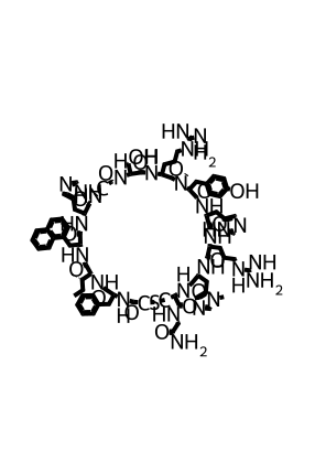 CC[C@H](C)C1NC(=O)C(Cc2ccccc2)NC(=O)CSCC(C(=O)NCC(N)=O)NC(=O)C(Cc2cncn2C)NC(=O)C(CCCNC(=N)N)NC(=O)C(Cc2cnc[nH]2)NC(=O)C(Cc2ccc(O)cc2)N(C)C(=O)C(CCCNC(=N)N)NC(=O)C(CO)NC(=O)CNC(=O)C(Cc2cnc[nH]2)NC(=O)C(Cc2cccc3ccccc23)NC1=O